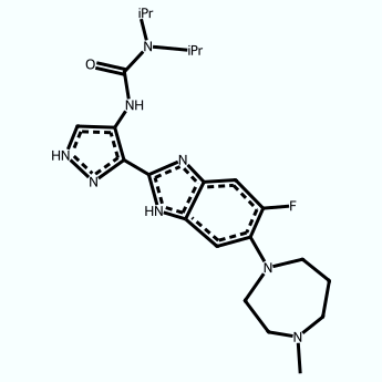 CC(C)N(C(=O)Nc1c[nH]nc1-c1nc2cc(F)c(N3CCCN(C)CC3)cc2[nH]1)C(C)C